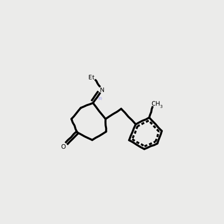 CC/N=C1\CCC(=O)CCC1Cc1ccccc1C